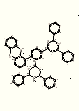 c1ccc(-c2nc(-c3ccccc3)nc(-c3ccc(-c4cccc5c4Sc4ccccc4O5)c(C4NC(c5ccccc5)NC(c5ccccc5)N4)c3)n2)cc1